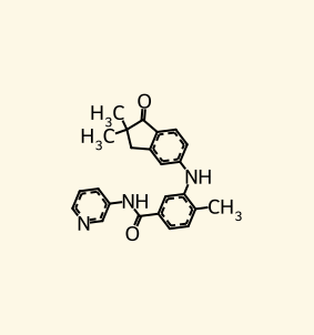 Cc1ccc(C(=O)Nc2cccnc2)cc1Nc1ccc2c(c1)CC(C)(C)C2=O